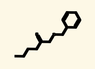 CCCCC(=O)COCC1C=CCC=C1